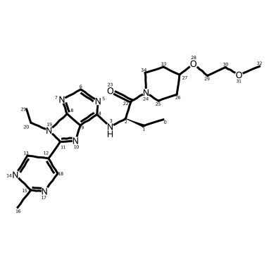 CC[C@@H](Nc1ncnc2c1nc(-c1cnc(C)nc1)n2CC)C(=O)N1CCC(OCCOC)CC1